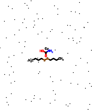 CCCCSSCCCC.NC(=O)O.[Cu]